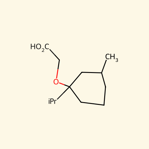 CC1CCCC(OCC(=O)O)(C(C)C)C1